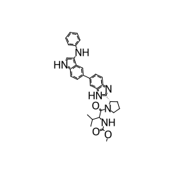 COC(=O)N[C@H](C(=O)N1CCC[C@H]1c1nc2ccc(-c3ccc4[nH]cc(Nc5ccccc5)c4c3)cc2[nH]1)C(C)C